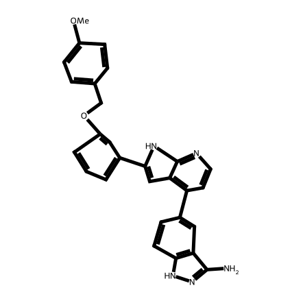 COc1ccc(COc2cccc(-c3cc4c(-c5ccc6[nH]nc(N)c6c5)ccnc4[nH]3)c2)cc1